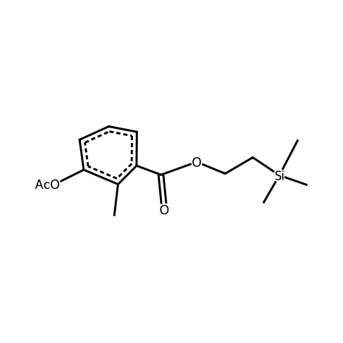 CC(=O)Oc1cccc(C(=O)OCC[Si](C)(C)C)c1C